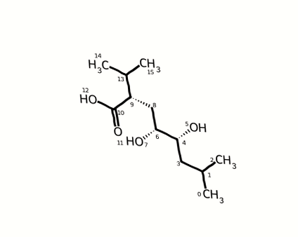 CC(C)C[C@@H](O)[C@H](O)C[C@H](C(=O)O)C(C)C